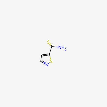 NC(=S)c1ccns1